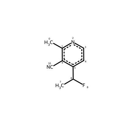 Cc1nccc(C(C)F)c1C#N